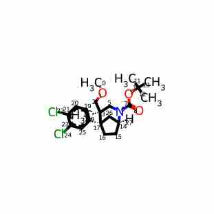 COC[C@@]1(C)CN(C(=O)OC(C)(C)C)[C@H]2CC[C@]1(c1ccc(Cl)c(Cl)c1)C2